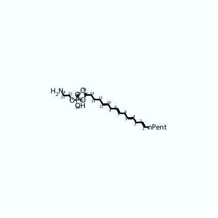 CCCCCC=CCC=CCC=CCC=CCCCC(=O)OP(=O)(O)OCCN